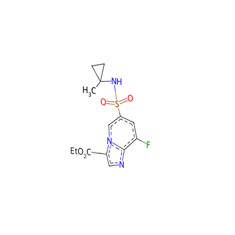 CCOC(=O)c1cnc2c(F)cc(S(=O)(=O)NC3(C)CC3)cn12